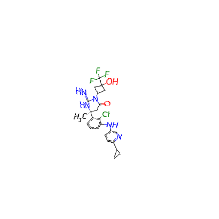 C[C@@]1(c2cccc(Nc3ccc(C4CC4)nc3)c2Cl)CC(=O)N(C2CC(O)(C(F)(F)F)C2)C(=N)N1